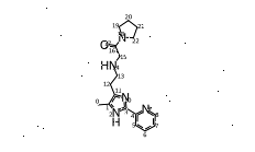 Cc1[nH]c(-c2ccccn2)nc1CCNCC(=O)N1CCCC1